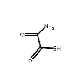 NC(=O)C(=O)S